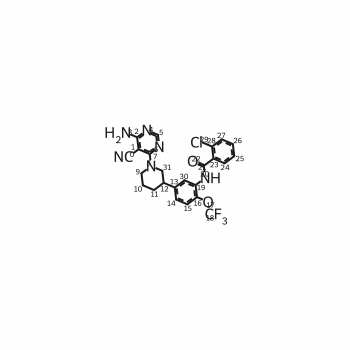 N#Cc1c(N)ncnc1N1CCCC(c2ccc(OC(F)(F)F)c(NC(=O)c3ccccc3Cl)c2)C1